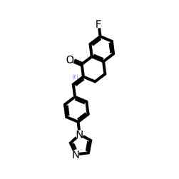 O=C1/C(=C/c2ccc(-n3ccnc3)cc2)CCc2ccc(F)cc21